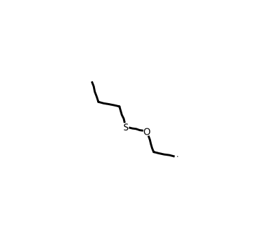 [CH2]COSCCC